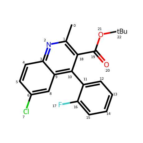 Cc1nc2ccc(Cl)cc2c(-c2ccccc2F)c1C(=O)OC(C)(C)C